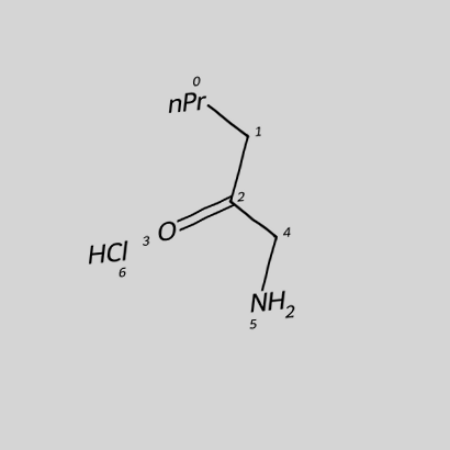 CCCCC(=O)CN.Cl